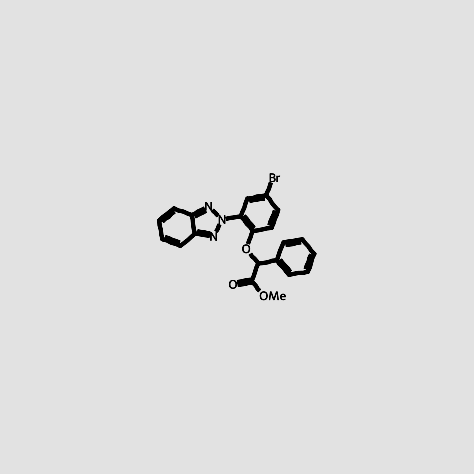 COC(=O)C(Oc1ccc(Br)cc1-n1nc2ccccc2n1)c1ccccc1